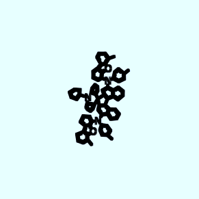 Cc1ccc(N(c2cc3c(c4ccccc24)-c2c(cc(N(c4ccc(C)cc4)c4cccc5c4oc4c(C)cccc45)c4ccccc24)C32c3ccccc3N(c3ccccc3)c3ccccc32)c2cccc3c2oc2c(C)cccc23)cc1